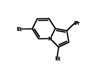 CCc1ccc2c(C(C)C)cc(CC)n2c1